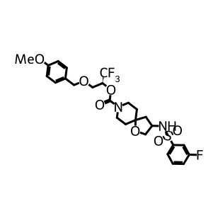 COc1ccc(COC[C@@H](OC(=O)N2CCC3(CC2)CC(NS(=O)(=O)c2cccc(F)c2)CO3)C(F)(F)F)cc1